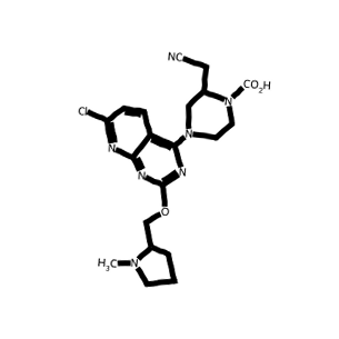 CN1CCCC1COc1nc(N2CCN(C(=O)O)C(CC#N)C2)c2ccc(Cl)nc2n1